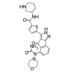 NC(=O)N(c1cccc2c1C(=O)c1c-2n[nH]c1-c1ccc(C(=O)NC2CCCNC2)s1)N1CCOCC1